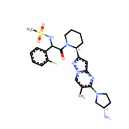 Cc1cn2nc([C@@H]3CCCCN3C(=O)C(NS(C)(=O)=O)c3ccccc3F)cc2nc1N1CC[C@H](N)C1